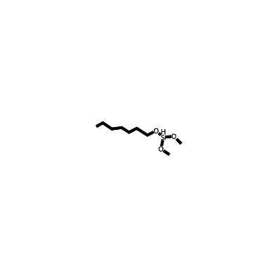 CCCCCCCO[SiH](OC)OC